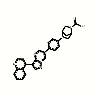 O=C(O)N1CC2CC1CN2c1ccc(-c2cnc3c(-c4ccnc5ccccc45)cnn3c2)cc1